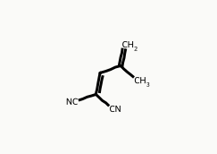 C=C(C)C=C(C#N)C#N